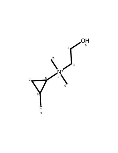 C[N+](C)(CCO)C1CC1F